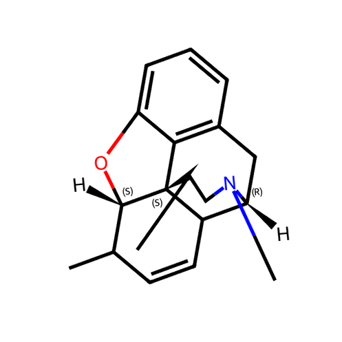 CC1C=CC2[C@H]3Cc4cccc5c4[C@@]2(C(C)CN3C)[C@H]1O5